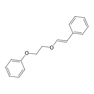 C(=C\c1ccccc1)/OCCOc1ccccc1